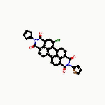 O=C1c2ccc3c4ccc5c6c(ccc(c7c(Br)cc(c2c37)C(=O)N1C1=CC=CC1)c64)C(=O)N(c1cccs1)C5=O